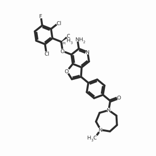 C[C@@H](Oc1c(N)ncc2c(-c3ccc(C(=O)N4CCCN(C)CC4)cc3)coc12)c1c(Cl)ccc(F)c1Cl